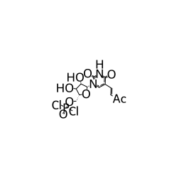 CC(=O)/C=C/c1cn([C@@H]2O[C@H](COP(=O)(Cl)Cl)C(O)[C@@H]2O)c(=O)[nH]c1=O